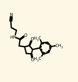 Cc1cc(C)c(C2C(=O)CC(CC(=O)NCCC#N)C2=O)c(C)c1